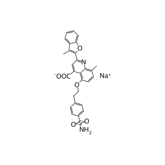 Cc1c(-c2cc(C(=O)[O-])c3c(OCCc4ccc(S(N)(=O)=O)cc4)ccc(C)c3n2)oc2ccccc12.[Na+]